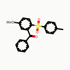 COc1ccc(S(=O)(=O)c2ccc(C)cc2)c(C(=O)c2ccccc2)c1